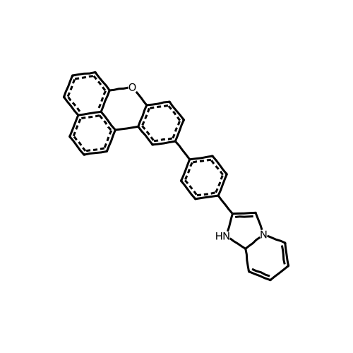 C1=CC2NC(c3ccc(-c4ccc5c(c4)-c4cccc6cccc(c46)O5)cc3)=CN2C=C1